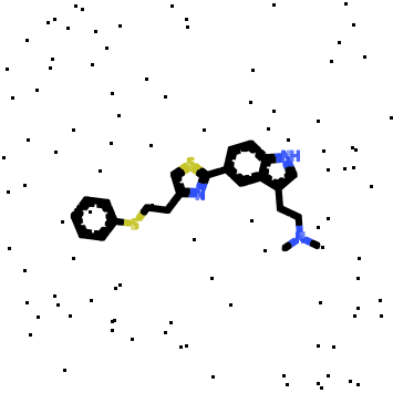 CN(C)CCc1c[nH]c2ccc(-c3nc(CCSc4ccccc4)cs3)cc12